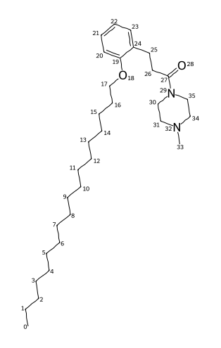 CCCCCCCCCCCCCCCCCCOc1ccccc1CCC(=O)N1CCN(C)CC1